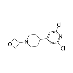 Clc1cc(C2CCN(C3COC3)CC2)cc(Cl)n1